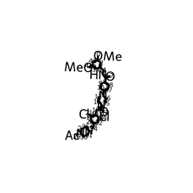 COc1cc(CNC(=O)c2ccc(N3CCN(C(=O)Cc4c(Cl)cc(CN5CCN(C(C)=O)CC5)cc4Cl)CC3)cc2)cc(OC)c1